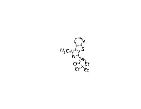 CCC(CC)(CC)C(=O)Nc1nn(C)c2c1sc1ncccc12